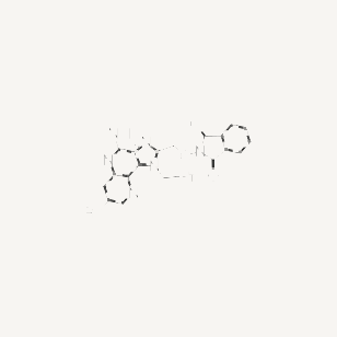 CC(C)Cn1c(CON2C(=O)c3ccccc3C2=O)nc2c(N)nc3cc(Br)cnc3c21